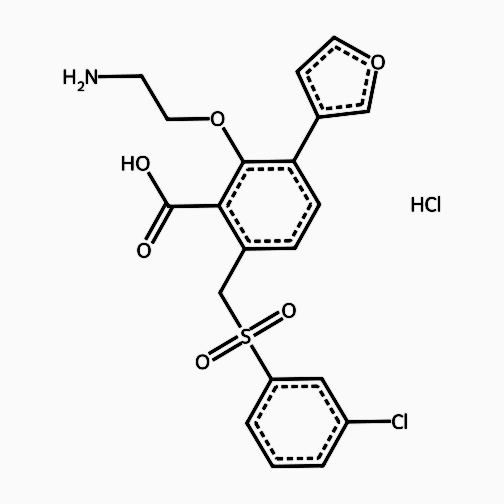 Cl.NCCOc1c(-c2ccoc2)ccc(CS(=O)(=O)c2cccc(Cl)c2)c1C(=O)O